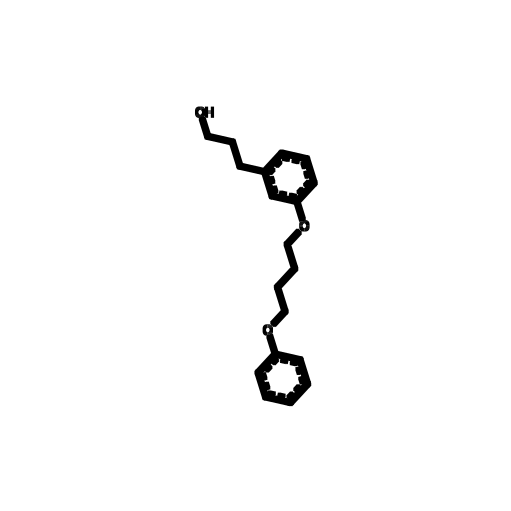 OCCCc1cccc(OCCCCOc2ccccc2)c1